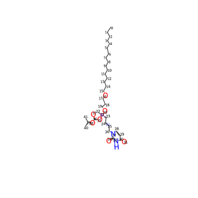 CCCCCCCCCCCCCCCCOCCCOP(C)(=C/C=C/Cn1ccc(=O)[nH]c1=O)OC(=O)OC(C)C